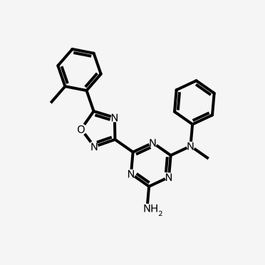 Cc1ccccc1-c1nc(-c2nc(N)nc(N(C)c3ccccc3)n2)no1